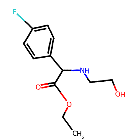 CCOC(=O)C(NCCO)c1ccc(F)cc1